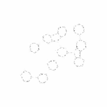 c1ccc(-c2cccc(-c3ccc(-c4nc(-n5c6ccccc6c6ccc(-c7ccccc7)cc65)nc(-n5c6ccccc6c6ccc(-c7ccccc7)cc65)n4)cc3)c2)cc1